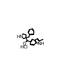 Cc1cc2cc(C(=O)C3(Cc4ccccc4)CCNC3)ccc2[nH]1.Cl